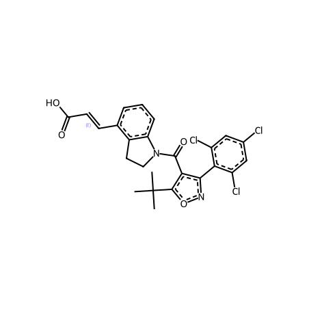 CC(C)(C)c1onc(-c2c(Cl)cc(Cl)cc2Cl)c1C(=O)N1CCc2c(/C=C/C(=O)O)cccc21